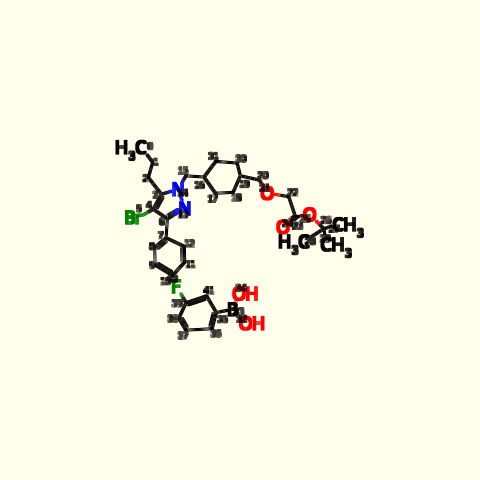 CCCc1c(Br)c(-c2ccccc2)nn1CC1CCC(COCC(=O)OC(C)(C)C)CC1.OB(O)c1cccc(F)c1